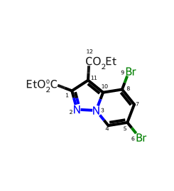 CCOC(=O)c1nn2cc(Br)cc(Br)c2c1C(=O)OCC